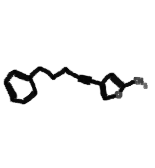 Cc1cc(C#CCCCc2ccccc2)co1